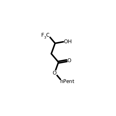 CCCCCOC(=O)CC(O)C(F)(F)F